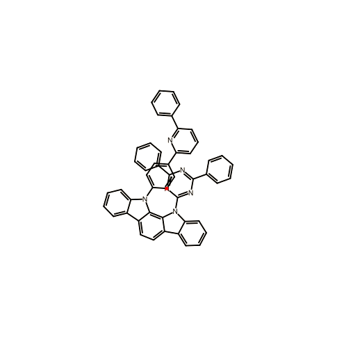 c1ccc(-c2cccc(-c3ccc(-n4c5ccccc5c5ccc6c7ccccc7n(-c7nc(-c8ccccc8)nc(-c8ccccc8)n7)c6c54)cc3)n2)cc1